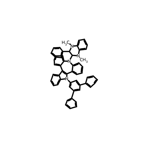 CN1c2ccccc2N(C)C(N2c3ccccc3-c3c(n(-c4cc(-c5ccccc5)cc(-c5ccccc5)c4)c4ccccc34)-c3ccccc32)C1c1ccccc1